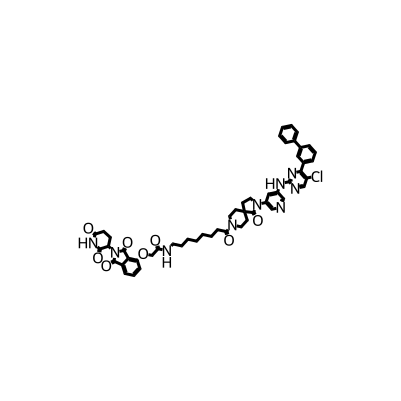 O=C(COc1cccc2c1C(=O)N(C1CCC(=O)NC1=O)C2=O)NCCCCCCCC(=O)N1CCC2(CC1)CCN(c1cncc(Nc3ncc(Cl)c(-c4cccc(-c5ccccc5)c4)n3)c1)C2=O